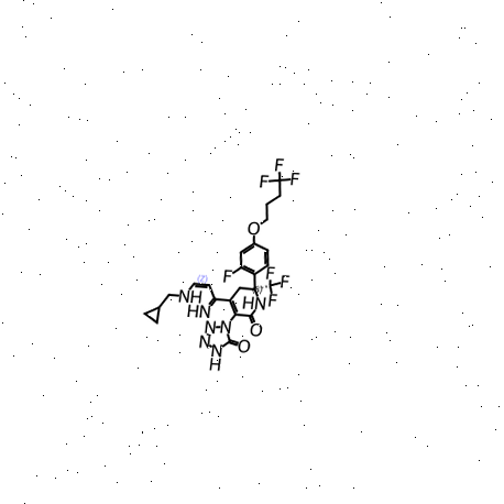 N=C(/C=C\NCC1CC1)C1=C(n2nn[nH]c2=O)C(=O)N[C@@](c2ccc(OCCCC(F)(F)F)cc2F)(C(F)(F)F)C1